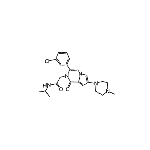 CC(C)NC(=O)Cn1c(-c2cccc(Cl)c2)cn2cc(N3CCN(C)CC3)cc2c1=O